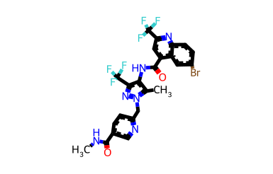 CNC(=O)c1ccc(Cn2nc(C(F)(F)F)c(NC(=O)c3cc(C(F)(F)F)nc4ccc(Br)cc34)c2C)nc1